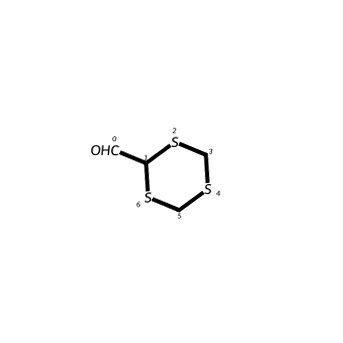 O=CC1SCSCS1